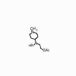 CCCN(CCOC(C)=O)C1CCN(C)CC1